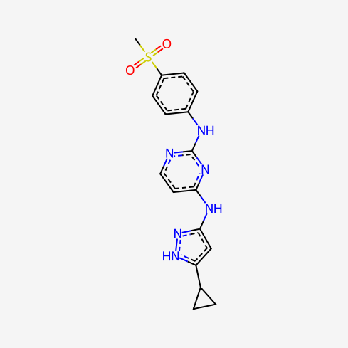 CS(=O)(=O)c1ccc(Nc2nccc(Nc3cc(C4CC4)[nH]n3)n2)cc1